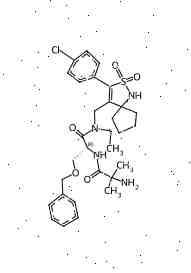 CCN(CC1=C(c2ccc(Cl)cc2)S(=O)(=O)NC12CCCC2)C(=O)[C@@H](COCc1ccccc1)NC(=O)C(C)(C)N